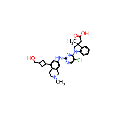 CN1CCc2c(cc(Nc3ncc(Cl)c(N4CC(C)(CC(=O)O)c5ccccc54)n3)cc2C2CC(CO)C2)C1